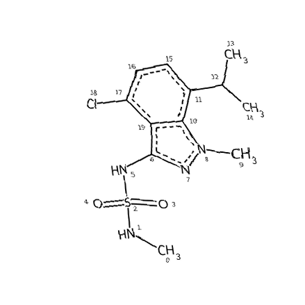 CNS(=O)(=O)Nc1nn(C)c2c(C(C)C)ccc(Cl)c12